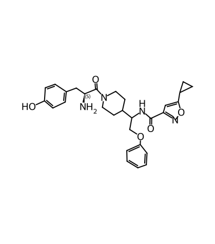 N[C@@H](Cc1ccc(O)cc1)C(=O)N1CCC(C(COc2ccccc2)NC(=O)c2cc(C3CC3)on2)CC1